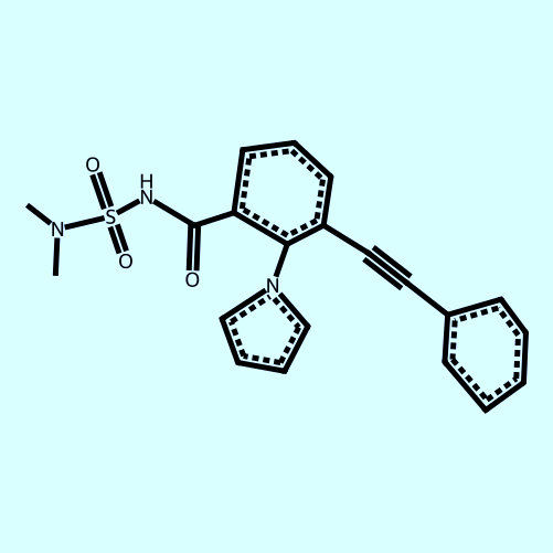 CN(C)S(=O)(=O)NC(=O)c1cccc(C#Cc2ccccc2)c1-n1cccc1